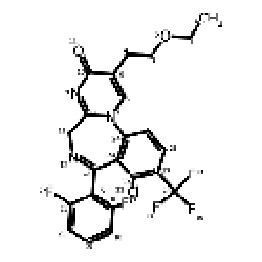 CCOCCc1cn2c(nc1=O)CN=C(c1c(F)cccc1F)c1c-2ccc(C(F)(F)F)c1Cl